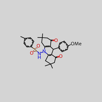 COc1ccc(C2C3=C(CC(C)(C)CC3=O)N(NS(=O)(=O)c3ccc(C)cc3)C3=C2C(=O)CC(C)(C)C3)cc1